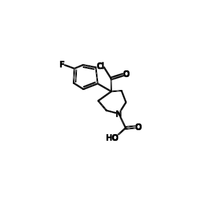 O=C(O)N1CCC(C(=O)Cl)(c2ccc(F)cc2)CC1